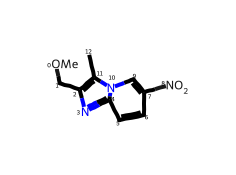 COCc1nc2ccc([N+](=O)[O-])cn2c1C